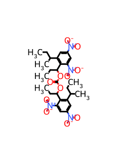 CCC(C)c1cc([N+](=O)[O-])cc([N+](=O)[O-])c1C(CC)OC(=O)OC(CC)c1c(C(C)CC)cc([N+](=O)[O-])cc1[N+](=O)[O-]